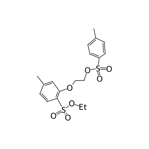 CCOS(=O)(=O)c1ccc(C)cc1OCCOS(=O)(=O)c1ccc(C)cc1